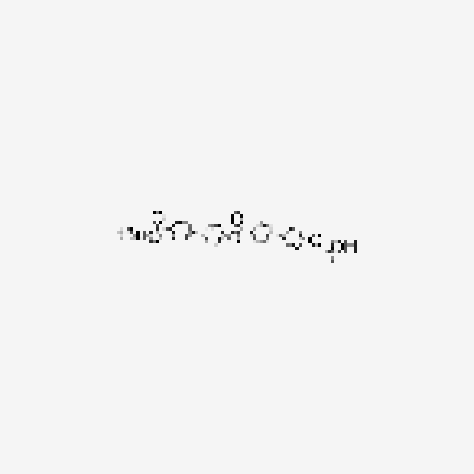 CC(O)COc1ccc(-c2ccc(C(=O)Oc3ccc(-c4ccc(C(=O)OC(C)(C)C)cc4)cc3)cc2)cc1